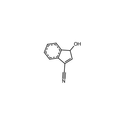 N#CC1=CC(O)c2ccccc21